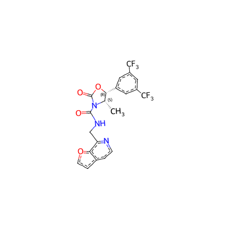 C[C@H]1[C@@H](c2cc(C(F)(F)F)cc(C(F)(F)F)c2)OC(=O)N1C(=O)NCc1nccc2ccoc12